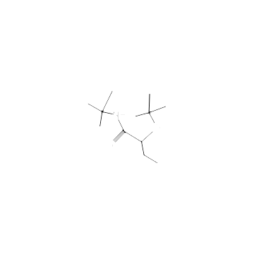 CCC(OC(C)(C)C)C(=O)NC(C)(C)C